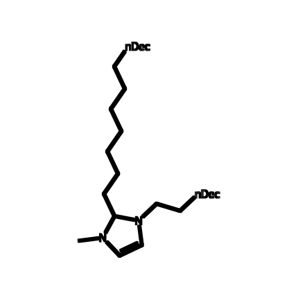 CCCCCCCCCCCCCCCCCC1N(C)C=CN1CCCCCCCCCCCC